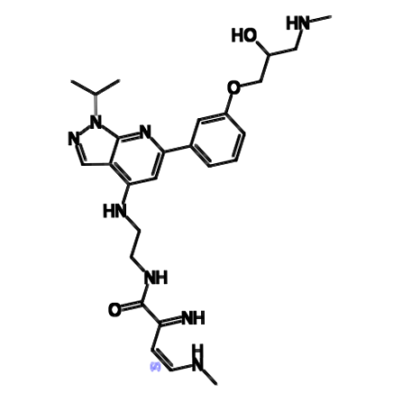 CN/C=C\C(=N)C(=O)NCCNc1cc(-c2cccc(OCC(O)CNC)c2)nc2c1cnn2C(C)C